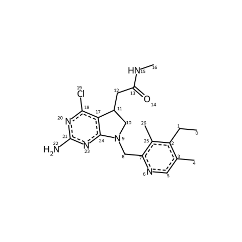 CCc1c(C)cnc(CN2CC(CC(=O)NC)c3c(Cl)nc(N)nc32)c1C